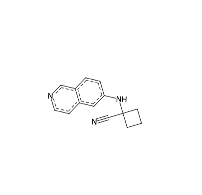 N#CC1(Nc2ccc3cnccc3c2)CCC1